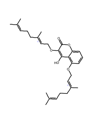 CC(C)=CCC/C(C)=C/COc1c(O)c2c(OC/C=C(\C)CCC=C(C)C)cccc2oc1=O